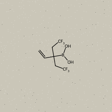 C=CC(CC(F)(F)F)(CC(F)(F)F)B(O)O